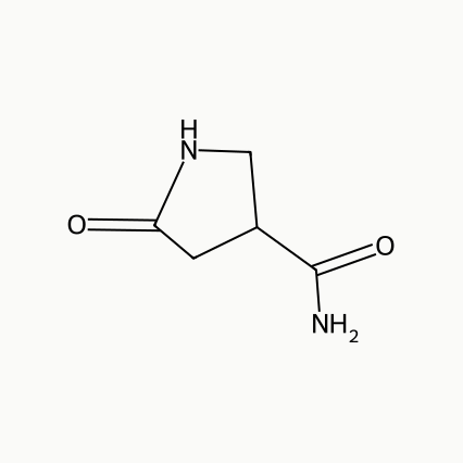 NC(=O)C1CNC(=O)C1